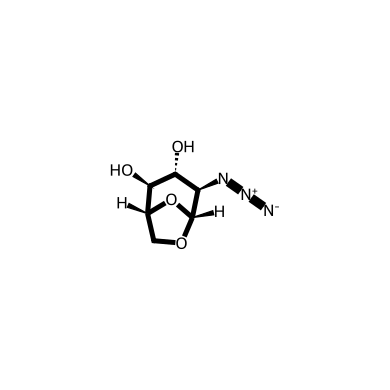 [N-]=[N+]=N[C@H]1[C@@H]2OC[C@@H](O2)[C@@H](O)[C@@H]1O